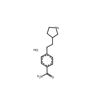 Cl.NC(=O)c1ccc(CCC2CCNC2)cc1